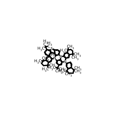 Cc1cc2c(cc1N1c3cc(C(C)(C)C)cc4c3B(c3cc5c(cc3N4c3ccc4c(c3)C(C)(C)CCC4(C)C)C(C)(C)CCC5(C)C)c3ccc4sc5c(C(C)(C)C)cccc5c4c31)C(C)(C)CCC2(C)C